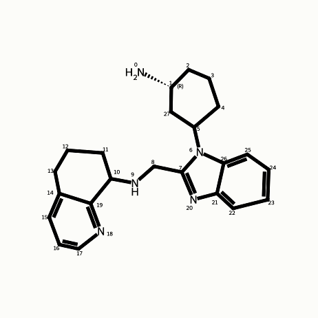 N[C@@H]1CCCC(n2c(CNC3CCCc4cccnc43)nc3ccccc32)C1